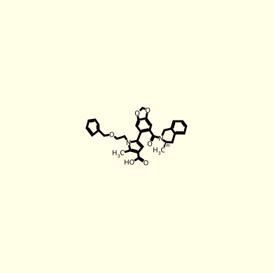 Cc1c(C(=O)O)cc(-c2cc3c(cc2C(=O)N2Cc4ccccc4C[C@H]2C)OCO3)n1CCOCc1ccccc1